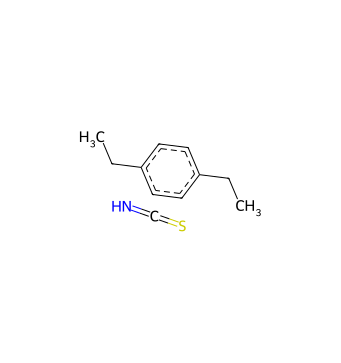 CCc1ccc(CC)cc1.N=C=S